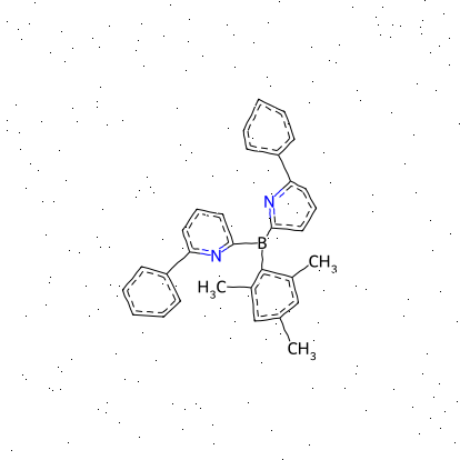 Cc1cc(C)c(B(c2cccc(-c3ccccc3)n2)c2cccc(-c3ccccc3)n2)c(C)c1